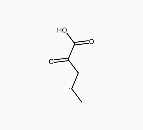 C[CH]CC(=O)C(=O)O